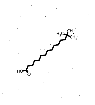 [CH2]C([CH2])([CH2])CCCCCCCCCCCCC(=O)O